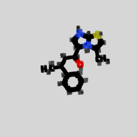 Cc1csc2ncc(C(=O)CC(C)c3ccccc3)n12